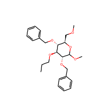 CCCO[C@H]1[C@H](OCc2ccccc2)[C@@H](COC)OC(OC)[C@@H]1OCc1ccccc1